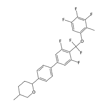 Cc1c(OC(F)(F)c2c(F)cc(-c3ccc(C4CCC(C)CO4)cc3)cc2F)cc(F)c(F)c1F